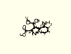 COC(=O)c1nn2cccc(N)c2c1C(=O)OC